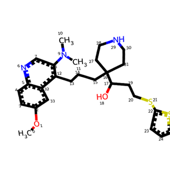 COc1ccc2ncc(N(C)C)c(CCCC3(C(O)CCSc4cccs4)CCNCC3)c2c1